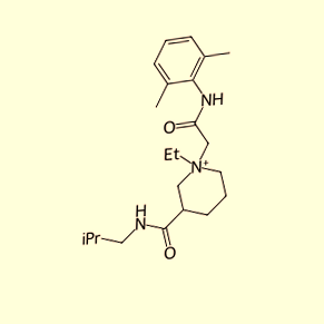 CC[N+]1(CC(=O)Nc2c(C)cccc2C)CCCC(C(=O)NCC(C)C)C1